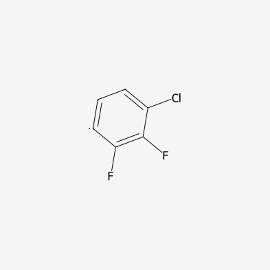 Fc1[c]ccc(Cl)c1F